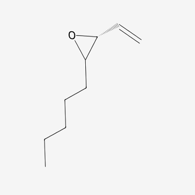 C=C[C@H]1OC1CCCCC